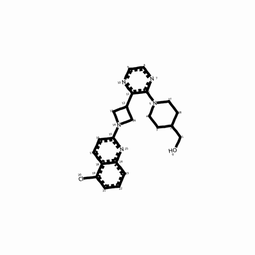 OCC1CCN(c2nccnc2C2CN(c3ccc4c(Cl)cccc4n3)C2)CC1